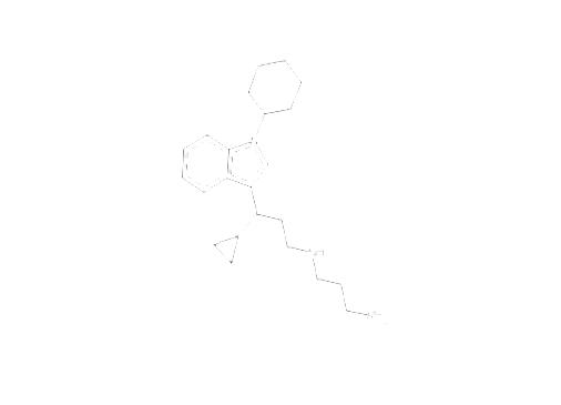 NCCCNCCC(c1cn(C2CCCCC2)c2ccccc12)C1CC1